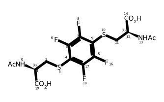 CC(=O)N[C@@H](CSc1c(F)c(F)c(SC[C@H](NC(C)=O)C(=O)O)c(F)c1F)C(=O)O